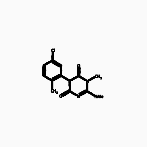 CNc1nc(=O)n(-c2cc(Cl)ccc2C)c(=O)n1C